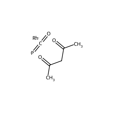 CC(=O)CC(C)=O.O=C=[P].[Rh]